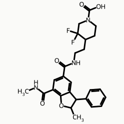 CNC(=O)c1cc(C(=O)NCCC2CCN(C(=O)O)CC2(F)F)cc2c1OC(C)C2c1ccccc1